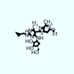 CCOc1cc2sc(-c3c(C)nc(NCC4CC4)nc3NC3C[C@H](CO)[C@@H](O)[C@H]3O)nc2c(C)n1